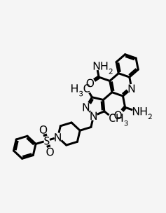 Cc1nn(CC2CCN(S(=O)(=O)c3ccccc3)CC2)c(C)c1-c1c(C(N)=O)nc2ccccc2c1C(N)=O